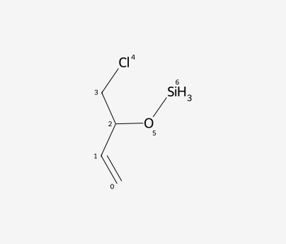 C=CC(CCl)O[SiH3]